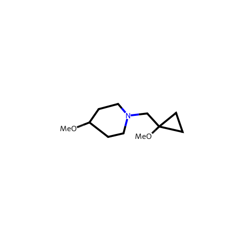 COC1CCN(CC2(OC)CC2)CC1